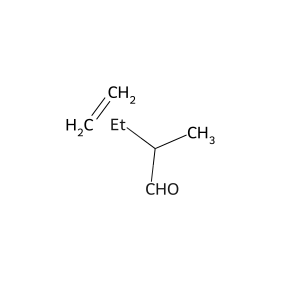 C=C.CCC(C)C=O